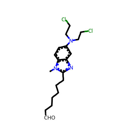 Cn1c(CCCCCCC=O)nc2cc(N(CCCl)CCCl)ccc21